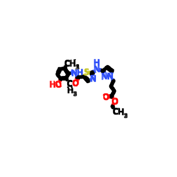 CCOC(=O)CCCn1ccc(Nc2ncc(C(=O)Nc3c(C)ccc(O)c3C)s2)n1